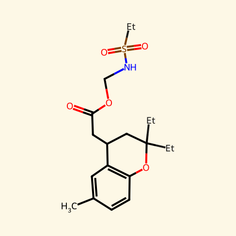 CCC1(CC)CC(CC(=O)OCNS(=O)(=O)CC)c2cc(C)ccc2O1